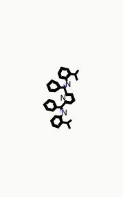 CC(C)c1ccccc1/N=C(\c1ccccc1)c1cccc(/C(=N/c2ccccc2C(C)C)c2ccccc2)n1